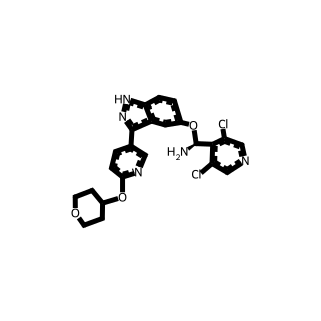 N[C@@H](Oc1ccc2[nH]nc(-c3ccc(OC4CCOCC4)nc3)c2c1)c1c(Cl)cncc1Cl